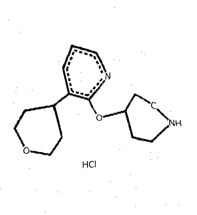 Cl.c1cnc(OC2CCNCC2)c(C2CCOCC2)c1